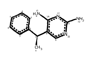 C[C@@H](c1ccccc1)c1cnc(N)nc1N